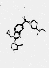 CCN(C)C1CCN(C(=O)c2ccc3c(c2)nc(N2CCCCC2C)n3CC2CC2)C1